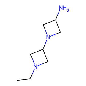 CCN1CC(N2CC(N)C2)C1